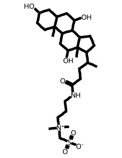 CC(CCC(=O)NCCC[N+](C)(C)CS(=O)(=O)[O-])C1CCC2C3C(O)CC4CC(O)CCC4(C)C3CC(O)C12C